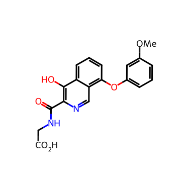 COc1cccc(Oc2cccc3c(O)c(C(=O)NCC(=O)O)ncc23)c1